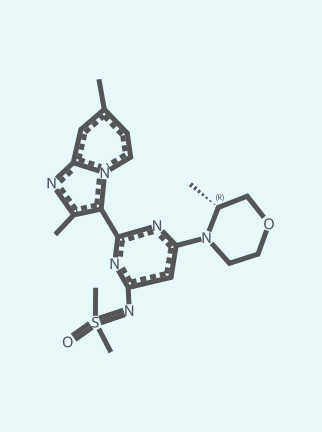 Cc1ccn2c(-c3nc(N=S(C)(C)=O)cc(N4CCOC[C@H]4C)n3)c(C)nc2c1